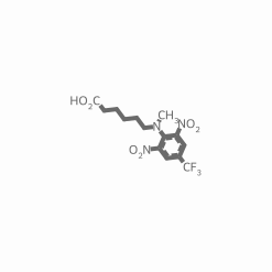 CN(CCCCCC(=O)O)c1c([N+](=O)[O-])cc(C(F)(F)F)cc1[N+](=O)[O-]